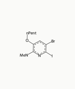 CCCCCOc1cc(Br)c(I)nc1NC